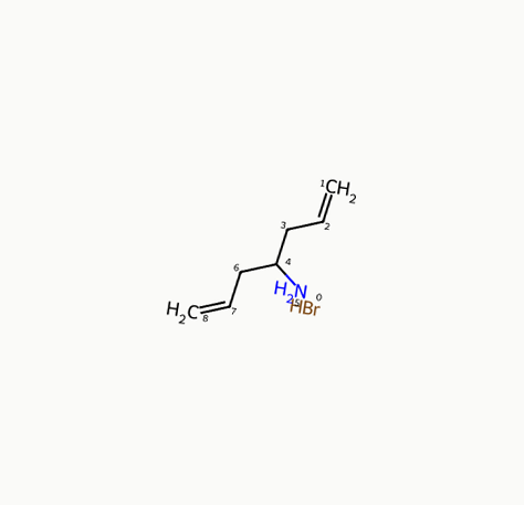 Br.C=CCC(N)CC=C